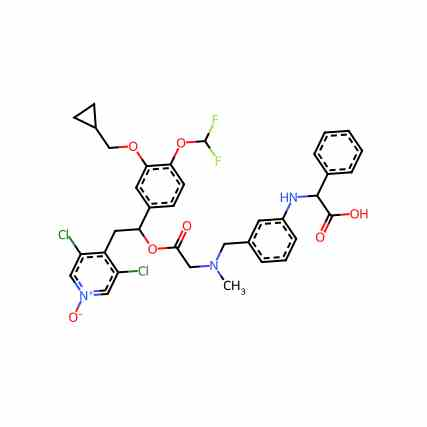 CN(CC(=O)OC(Cc1c(Cl)c[n+]([O-])cc1Cl)c1ccc(OC(F)F)c(OCC2CC2)c1)Cc1cccc(NC(C(=O)O)c2ccccc2)c1